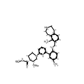 CO[C@H]1CN(c2cccc(-c3cc(C)ccc3OCc3ccc4c(c3C)CCNCC4)n2)CC[C@H]1C(=O)OC(C)(C)C